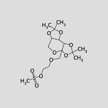 CC1(C)OC2COC3(COCCOS(C)(=O)=O)OC(C)(C)OC3C2O1